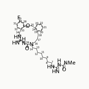 CNC(=O)NC(=N)NCCCCCCCCN1CCCc2ccccc2COc2cc(F)ccc2CNC(=N)NC1=O